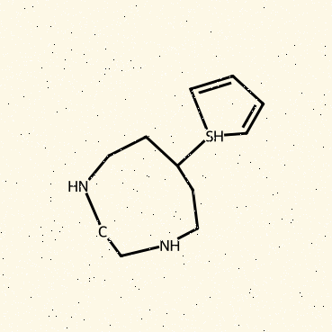 C1=C[SH](C2CCNCCNCC2)C=C1